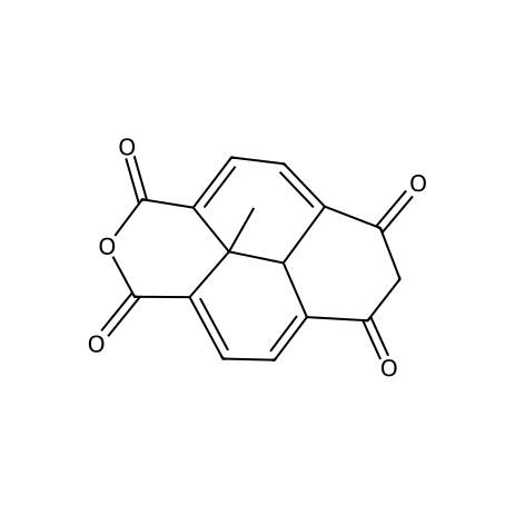 CC12C3=CC=C4C(=O)CC(=O)C(=CC=C1C(=O)OC3=O)C42